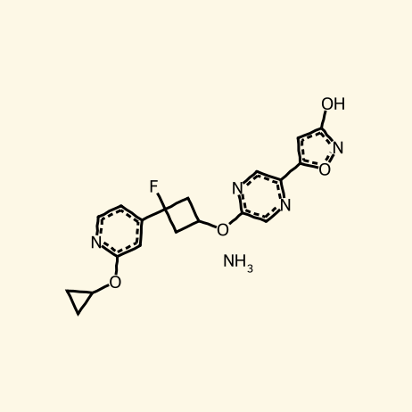 N.Oc1cc(-c2cnc(OC3CC(F)(c4ccnc(OC5CC5)c4)C3)cn2)on1